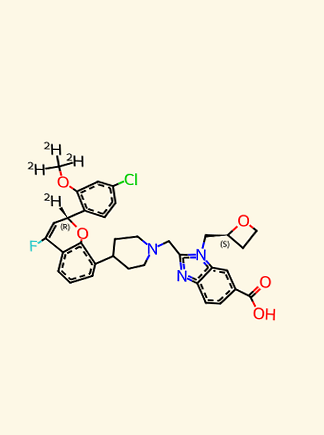 [2H]C([2H])([2H])Oc1cc(Cl)ccc1[C@@]1([2H])C=C(F)c2cccc(C3CCN(Cc4nc5ccc(C(=O)O)cc5n4C[C@@H]4CCO4)CC3)c2O1